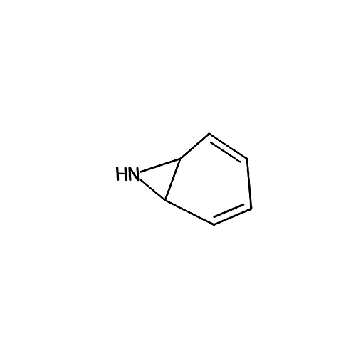 C1=CC2NC2C=C1